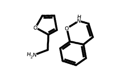 C1=Cc2ccccc2ON1.NCc1ccco1